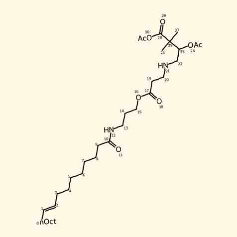 CCCCCCCCC=CCCCCCCCC(=O)NCCCOC(=O)CCNCC(OC(C)=O)C(C)(C)C(=O)OC(C)=O